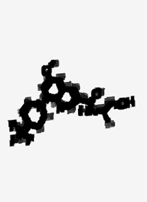 COc1cc(N2CCC(C(F)(F)F)CC2)c2ncc(C(=O)N[C@H](C)CO)cc2c1